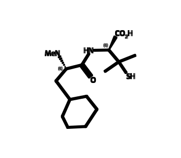 CN[C@@H](CC1CCCCC1)C(=O)N[C@@H](C(=O)O)C(C)(C)S